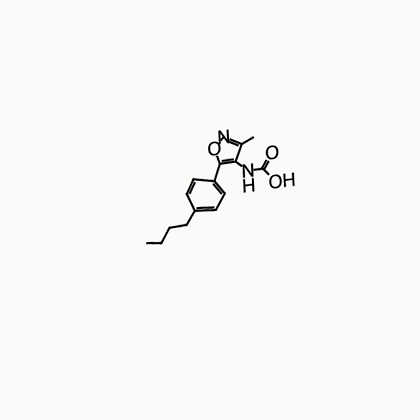 CCCCc1ccc(-c2onc(C)c2NC(=O)O)cc1